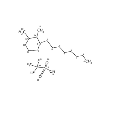 CCCCCCCCN1CCCC(C)C1C.O=S(=O)(O)C(F)(F)F